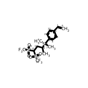 C=Cc1ccc([Si](C)(C)C(C)CC(S(=O)(=O)C(F)(F)F)S(=O)(=O)C(F)(F)F)cc1